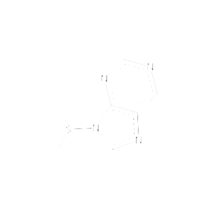 CSn1cnc2cncnc21